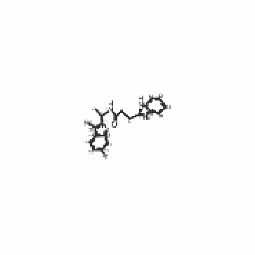 CC(NC(=O)CCc1nc2ccccc2[nH]1)c1sc2cc(F)ccc2c1F